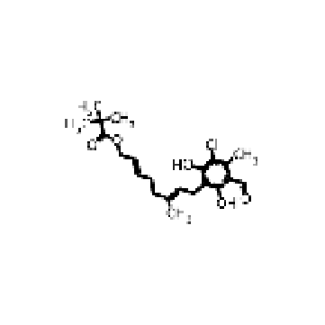 C/C(=C\Cc1c(O)c(Cl)c(C)c(C=O)c1O)CC/C=C/COC(=O)C(C)(C)C